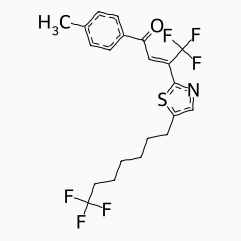 Cc1ccc(C(=O)/C=C(/c2ncc(CCCCCCC(F)(F)F)s2)C(F)(F)F)cc1